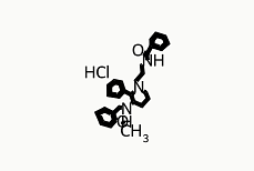 COc1ccccc1CNC1CCCN(CCCNC(=O)c2ccccc2)C1c1ccccc1.Cl